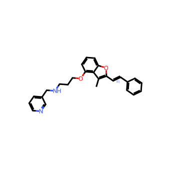 Cc1c(/C=C/c2ccccc2)oc2cccc(OCCCNCc3cccnc3)c12